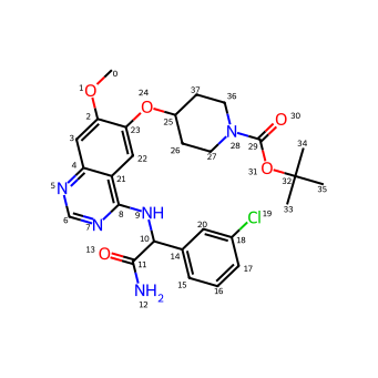 COc1cc2ncnc(NC(C(N)=O)c3cccc(Cl)c3)c2cc1OC1CCN(C(=O)OC(C)(C)C)CC1